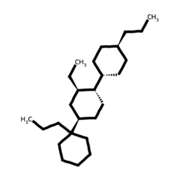 CCCC1([C@@H]2CC[C@@H]([C@H]3CC[C@H](CCC)CC3)[C@H](CC)C2)CCCCC1